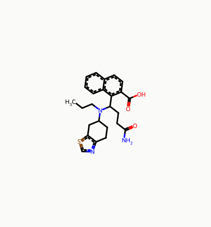 CCCN(C1CCc2ncsc2C1)C(CCC(N)=O)c1c(C(=O)O)ccc2ccccc12